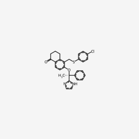 C[C@](Oc1ccc2c(c1CSc1ccc(Cl)cc1)CCCC2=O)(c1ccccc1)c1ncc[nH]1